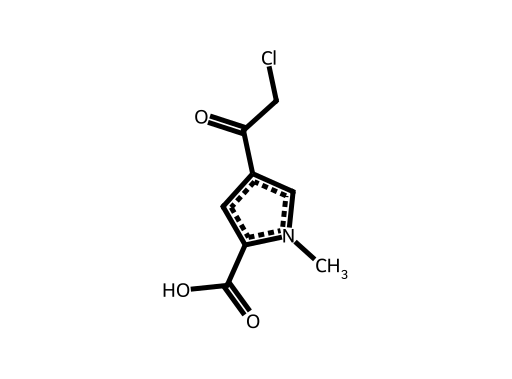 Cn1cc(C(=O)CCl)cc1C(=O)O